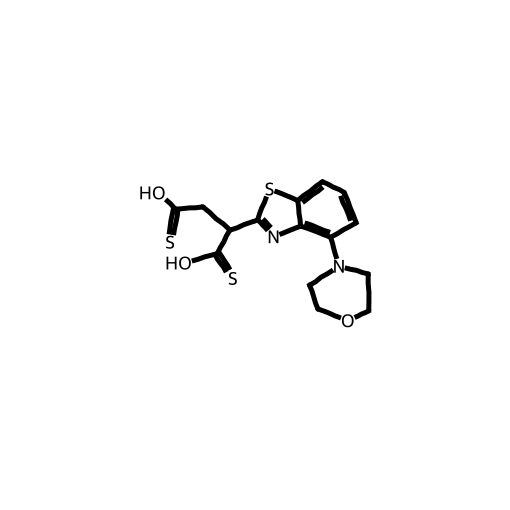 OC(=S)CC(C(O)=S)c1nc2c(N3CCOCC3)cccc2s1